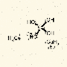 O[Si](O)(O)O.[CaH2].[Eu].[GaH3].[GeH4]